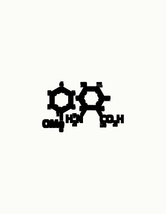 COc1ccccc1.Nc1ccccc1C(=O)O